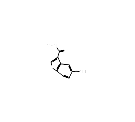 CNC(=O)c1csc2ccc(N)cc12